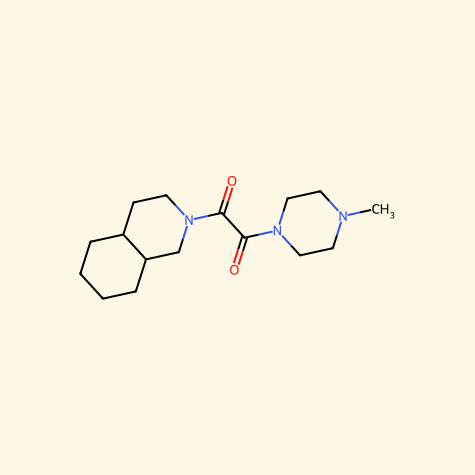 CN1CCN(C(=O)C(=O)N2CCC3CCCCC3C2)CC1